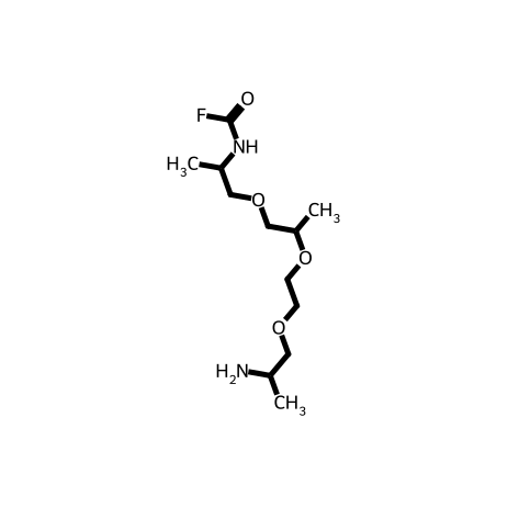 CC(N)COCCOC(C)COCC(C)NC(=O)F